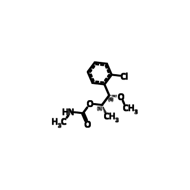 CNC(=O)O[C@@H](C)[C@@H](OC)c1ccccc1Cl